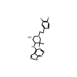 Cl.Fc1ccc(CCN2CCC(Nc3ncnc4[nH]ncc34)C(F)(F)C2)cc1F